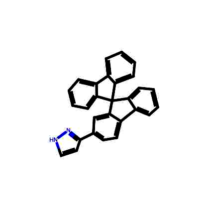 c1ccc2c(c1)-c1ccccc1C21c2ccccc2-c2ccc(-c3cc[nH]n3)cc21